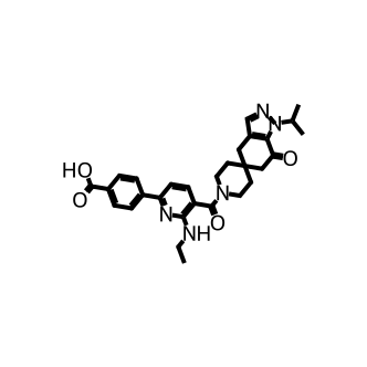 CCNc1nc(-c2ccc(C(=O)O)cc2)ccc1C(=O)N1CCC2(CC1)CC(=O)c1c(cnn1C(C)C)C2